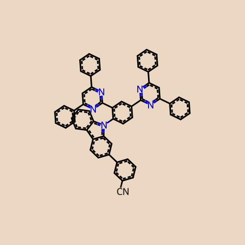 N#Cc1cccc(-c2ccc3c4ccccc4n(-c4ccc(-c5nc(-c6ccccc6)cc(-c6ccccc6)n5)cc4-c4nc(-c5ccccc5)cc(-c5ccccc5)n4)c3c2)c1